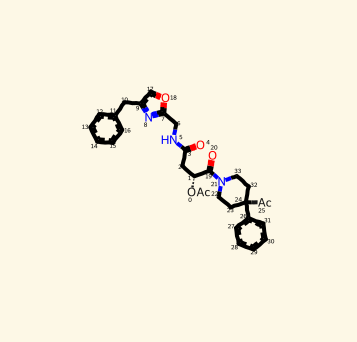 CC(=O)O[C@H](CC(=O)NCc1nc(Cc2ccccc2)co1)C(=O)N1CCC(C(C)=O)(c2ccccc2)CC1